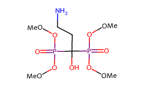 COOP(=O)(OOC)C(O)(CCN)P(=O)(OOC)OOC